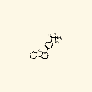 BC(B)(B)C(=O)c1ccc(-c2cccc3c2oc2ccccc23)cc1